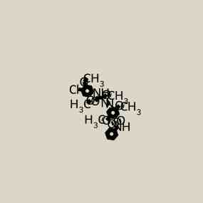 COc1cc(NC(=O)C(N=Nc2cc(OC)c(S(=O)(=O)Nc3ccccc3)cc2OC)OC)c(OC)cc1Cl